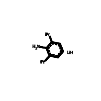 CC(C)c1cccc(C(C)C)c1N.[LiH]